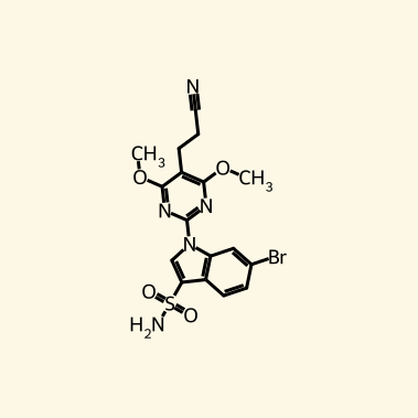 COc1nc(-n2cc(S(N)(=O)=O)c3ccc(Br)cc32)nc(OC)c1CCC#N